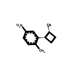 Cc1ccc([N+](=O)[O-])cc1[C@H]1CC[C@H]1C#N